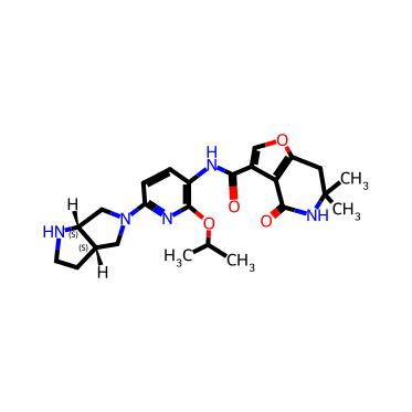 CC(C)Oc1nc(N2C[C@@H]3CCN[C@@H]3C2)ccc1NC(=O)c1coc2c1C(=O)NC(C)(C)C2